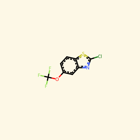 FC(F)(F)Oc1ccc2sc(Cl)nc2c1